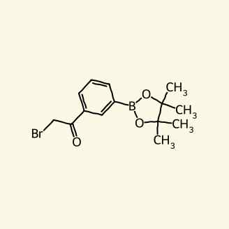 CC1(C)OB(c2cccc(C(=O)CBr)c2)OC1(C)C